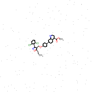 CCCc1onc(-c2c(Cl)cccc2Cl)c1COc1ccc(-c2ccc3c(C(=O)OC)ccnc3c2)cc1